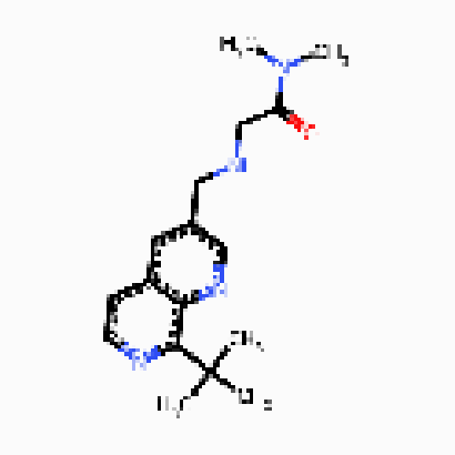 CN(C)C(=O)CNCc1cnc2c(C(C)(C)C)nccc2c1